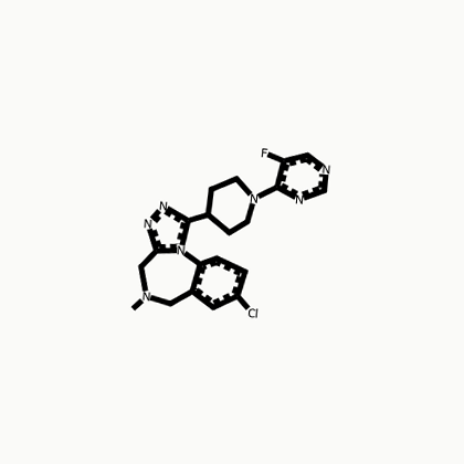 CN1Cc2cc(Cl)ccc2-n2c(nnc2C2CCN(c3ncncc3F)CC2)C1